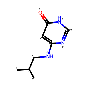 CC(C)CNc1cc(=O)[nH]cn1